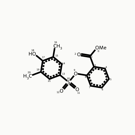 COC(=O)c1ccccc1OS(=O)(=O)c1cc(C)c(O)c(C)c1